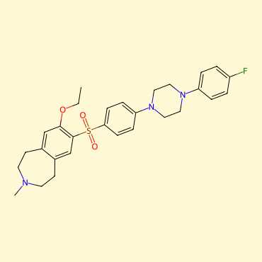 CCOc1cc2c(cc1S(=O)(=O)c1ccc(N3CCN(c4ccc(F)cc4)CC3)cc1)CCN(C)CC2